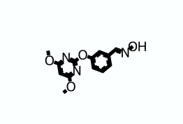 COc1cc(OC)nc(Oc2cccc(C=NO)c2)n1